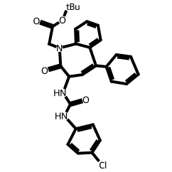 CC(C)(C)OC(=O)CN1C(=O)C(NC(=O)Nc2ccc(Cl)cc2)C=C(c2ccccc2)c2ccccc21